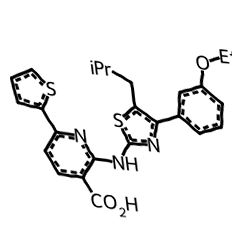 CCOc1cccc(-c2nc(Nc3nc(-c4cccs4)ccc3C(=O)O)sc2CC(C)C)c1